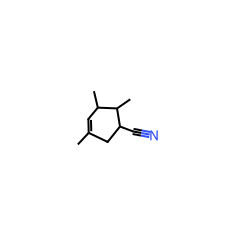 CC1=CC(C)C(C)C(C#N)C1